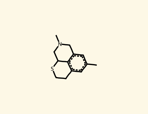 Cc1cc2c3c(c1)CN(C)CC3SCC2